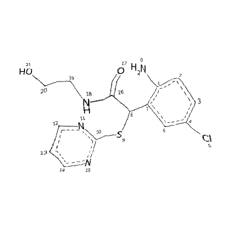 Nc1ccc(Cl)cc1C(Sc1ncccn1)C(=O)NCCO